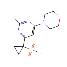 CSc1nc(N2CCOC[C@H]2C)cc(C2(S(N)(=O)=O)CC2)n1